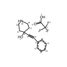 O=C(O)C(F)(F)F.OC1(C#Cc2ccccc2)CCNCC1